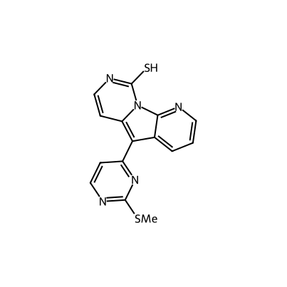 CSc1nccc(-c2c3cccnc3n3c(S)nccc23)n1